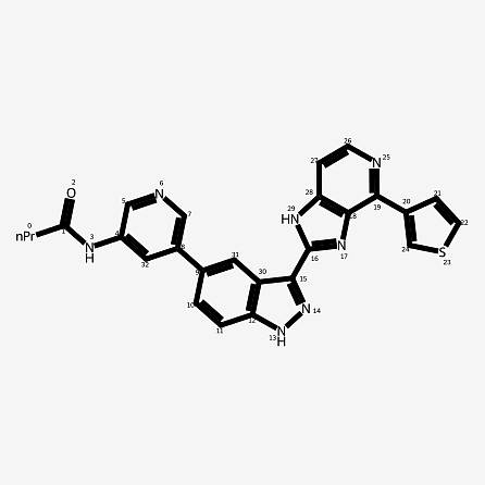 CCCC(=O)Nc1cncc(-c2ccc3[nH]nc(-c4nc5c(-c6ccsc6)nccc5[nH]4)c3c2)c1